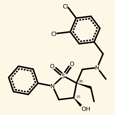 CC[C@@]1(CN(C)Cc2ccc(Cl)c(Cl)c2)[C@@H](O)CN(c2ccccc2)S1(=O)=O